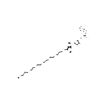 CP(=O)(OP(=O)(O)O)OP(=O)(O)OC[C@H]1O[C@@H](n2cnc3c(NCCCOCCOCCOCCOCCOCCCNC(=O)C(F)(F)F)ncnc32)[C@@H](O)C1O